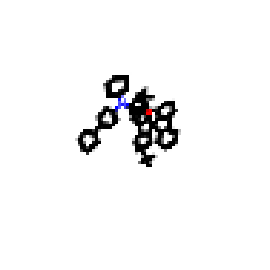 CC(C)(C)c1ccc2c(c1)C1(c3cc(C(C)(C)C)ccc3-2)c2ccccc2-c2cccc(-c3ccc(N(c4ccccc4)c4ccc(-c5ccccc5)cc4)cc3)c21